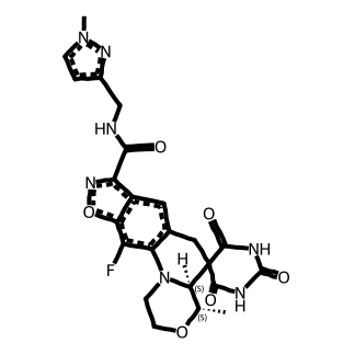 C[C@@H]1OCCN2c3c(cc4c(C(=O)NCc5ccn(C)n5)noc4c3F)CC3(C(=O)NC(=O)NC3=O)[C@@H]12